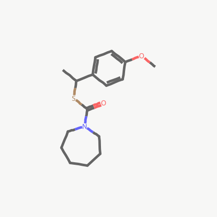 COc1ccc(C(C)SC(=O)N2CCCCCC2)cc1